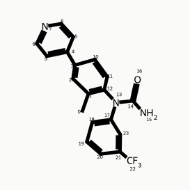 Cc1cc(-c2ccncc2)ccc1N(C(N)=O)c1cccc(C(F)(F)F)c1